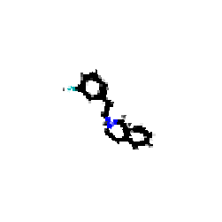 Fc1cccc(CCN2CCc3cc[c]cc3C2)c1